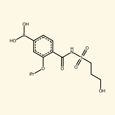 CC(C)Oc1cc(B(O)O)ccc1C(=O)NS(=O)(=O)CCCO